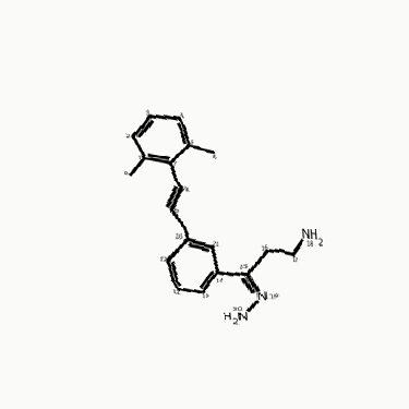 Cc1cccc(C)c1C=Cc1cccc(/C(CCN)=N\N)c1